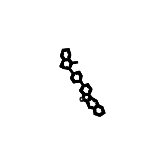 Cc1c(-c2ccc(-c3ccc4c(c3)oc3cc5ccccc5cc34)cc2)ccc2ccccc12